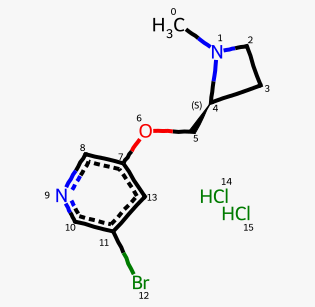 CN1CC[C@H]1COc1cncc(Br)c1.Cl.Cl